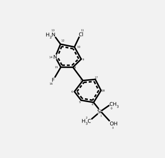 C[Si](C)(O)c1ccc(-c2cc(Cl)c(N)nc2F)cc1